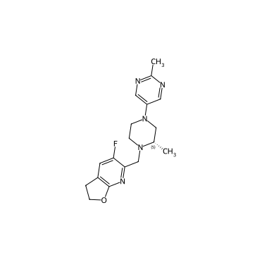 Cc1ncc(N2CCN(Cc3nc4c(cc3F)CCO4)[C@@H](C)C2)cn1